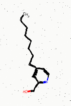 CCCCCCCCc1ccnc(CO)c1